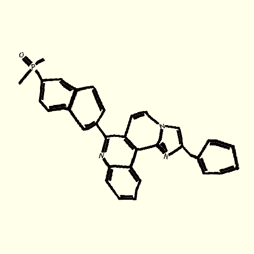 CP(C)(=O)c1ccc2cc(-c3nc4ccccc4c4c3ccn3cc(-c5ccccc5)nc43)ccc2c1